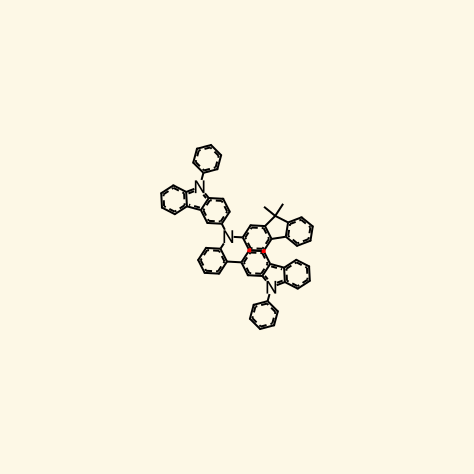 CC1(C)c2ccccc2-c2ccc(N(c3ccc4c(c3)c3ccccc3n4-c3ccccc3)c3ccccc3-c3ccc4c5ccccc5n(-c5ccccc5)c4c3)cc21